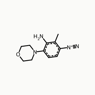 Cc1c([N+]#N)ccc(N2CCOCC2)c1N